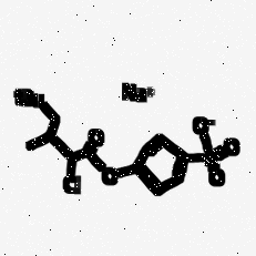 CC(CC(C)(C)C)C(Cl)C(=O)Oc1ccc(S(=O)(=O)[O-])cc1.[Na+]